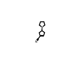 N#CC1=CCC(N2CCCC2)C1